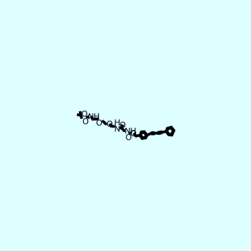 CC(C)(C)OC(=O)NCCOCCOCCNC(=O)CNC(=O)OCc1ccc(C#CC#Cc2ccccc2)cc1